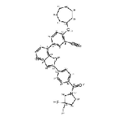 N#Cc1cc(-c2ccnc3cc(-c4ccc(C(=O)N5CCC(F)(F)C5)cc4)oc23)ccc1OC1CCCCCC1